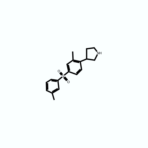 Cc1cccc(S(=O)(=O)c2ccc(C3CCNC3)c(C)c2)c1